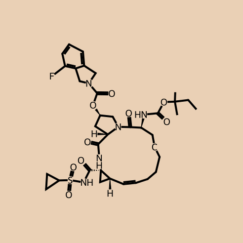 CCC(C)(C)OC(=O)N[C@H]1CCCCC/C=C\[C@@H]2C[C@@]2(C(=O)NS(=O)(=O)C2CC2)NC(=O)[C@@H]2C[C@@H](OC(=O)N3Cc4cccc(F)c4C3)CN2C1=O